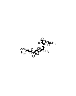 CC(=O)O[C@@H](C)C=CC(=O)N[C@@H]1C[C@H](C)[C@H](CC=C(C)C=C[C@H]2O[C@H](CC(N)=O)C[C@@]3(CO3)[C@@H]2O)O[C@@H]1C